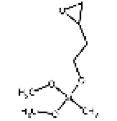 CO[Si](C)(OC)OCCC1CO1